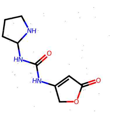 O=C(NC1=CC(=O)OC1)NC1CCCN1